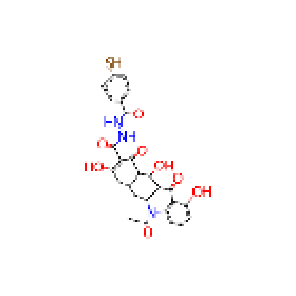 CC(=O)N1c2cccc(O)c2C(=O)C2C(O)C3C(=O)C(C(=O)NNC(=O)c4ccc(S)cc4)=C(O)CC3CC21